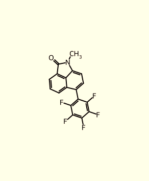 CN1C(=O)c2cccc3c(-c4c(F)c(F)c(F)c(F)c4F)ccc1c23